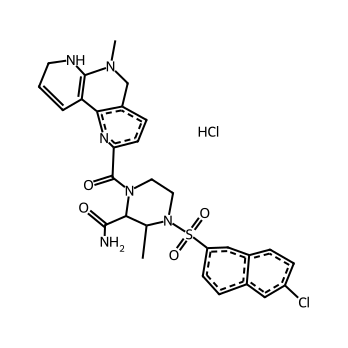 CC1C(C(N)=O)N(C(=O)c2ccc3c(n2)C2=C(NCC=C2)N(C)C3)CCN1S(=O)(=O)c1ccc2cc(Cl)ccc2c1.Cl